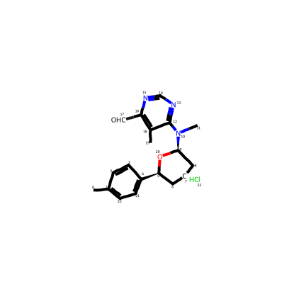 Cc1ccc([C@@H]2CCC[C@H](N(C)c3ncnc(C=O)c3C)O2)cc1.Cl